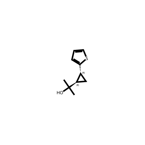 CC(C)(O)[C@@H]1C[C@H]1c1cccs1